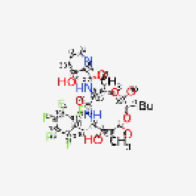 CCC(C)C1OC(=O)[C@H](C)[C@H](O)[C@H](Cc2c(F)c(F)c(F)c(F)c2F)NC(=O)[C@@H](NC(=O)c2ncccc2O)[C@@H](C)OC1=O